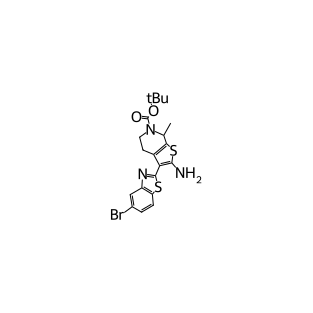 CC1c2sc(N)c(-c3nc4cc(Br)ccc4s3)c2CCN1C(=O)OC(C)(C)C